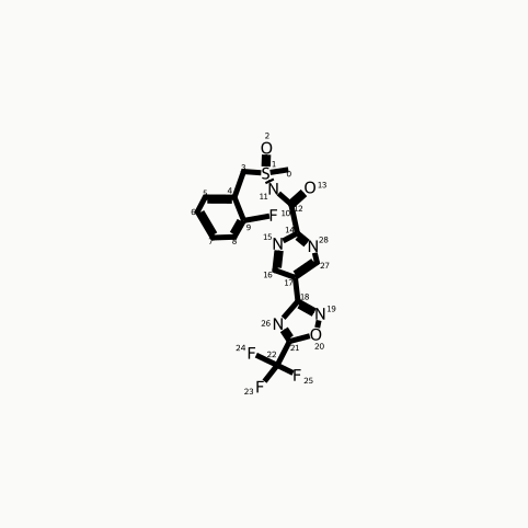 CS(=O)(Cc1ccccc1F)=NC(=O)c1ncc(-c2noc(C(F)(F)F)n2)cn1